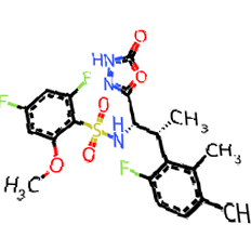 COc1cc(F)cc(F)c1S(=O)(=O)N[C@H](c1n[nH]c(=O)o1)[C@H](C)c1c(F)ccc(C)c1C